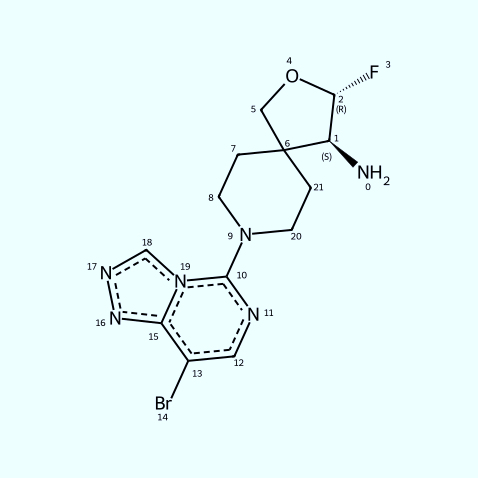 N[C@@H]1[C@@H](F)OCC12CCN(c1ncc(Br)c3nncn13)CC2